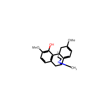 COC1=CC=C2C3Cc4ccc(OC)c(O)c4[C@@]2(CCN3C)C1